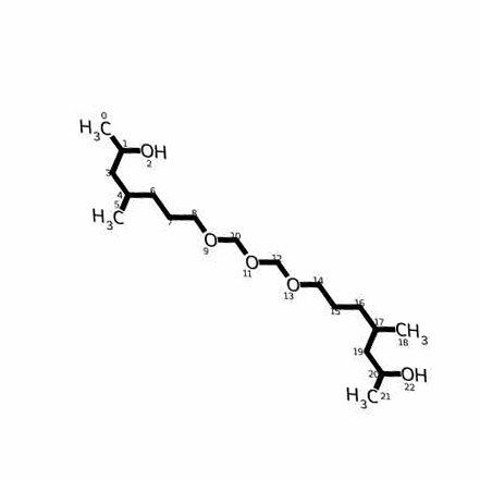 CC(O)CC(C)CCCOCOCOCCCC(C)CC(C)O